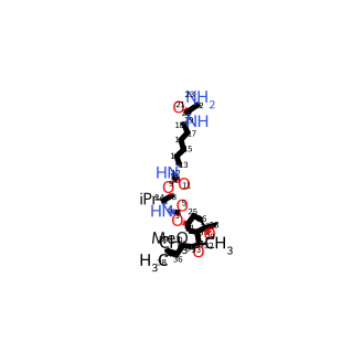 COC1C(OC(=O)N[C@@H](COC(=O)NCCCCCCNC(=O)CN)C(C)C)CC[C@]2(CO2)C1[C@]1(C)OC1CC=C(C)C